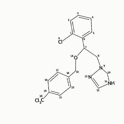 Clc1ccccc1C(CN1CNC=N1)OCc1ccc(C(Cl)(Cl)Cl)cc1